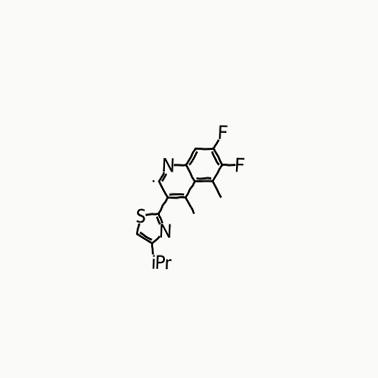 Cc1c(-c2nc(C(C)C)cs2)[c]nc2cc(F)c(F)c(C)c12